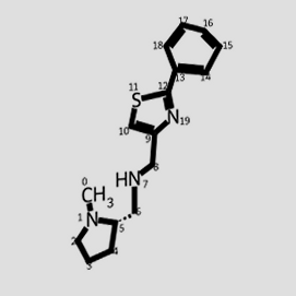 CN1CCC[C@H]1CNCc1csc(-c2ccccc2)n1